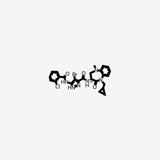 CN1C[C@@H](NC(=O)c2n[nH]c(NC(=O)c3ccccc3Cl)c2Br)C(=O)N(CC2CC2)c2ccccc21